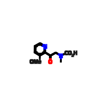 COc1cccnc1C(=O)CN(C)C(=O)O